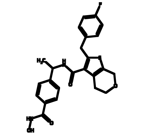 CC(NC(=O)c1c(Cc2ccc(F)cc2)sc2c1CCOC2)c1ccc(C(=O)NO)cc1